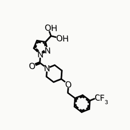 O=C(N1CCC(OCc2cccc(C(F)(F)F)c2)CC1)n1ccc(C(O)O)n1